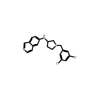 Clc1cc(Cl)cc(CN2CCC(Nc3ccc4cnccc4c3)C2)c1